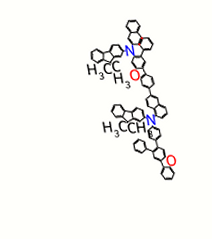 CC1(C)c2ccccc2-c2ccc(N(c3ccc4ccccc4c3)c3cc4oc5cc(-c6ccc7c(N(c8ccc(-c9cc%10oc%11ccccc%11c%10cc9-c9ccccc9)cc8)c8ccc9c(c8)C(C)(C)c8ccccc8-9)cccc7c6)ccc5c4cc3-c3ccccc3)cc21